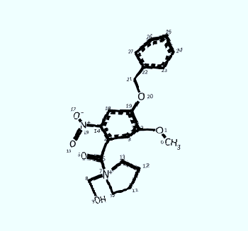 COc1cc(C(=O)[N+]2(CO)CCCC2)c([N+](=O)[O-])cc1OCc1ccccc1